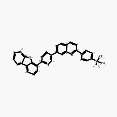 C[Si](C)(C)c1ccc(-c2ccc3ccc(-c4ccc(-c5cccc6c5sc5ncccc56)nc4)cc3c2)cc1